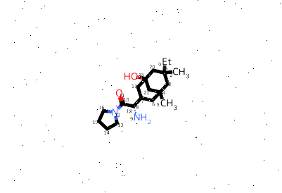 CCC1(C)CC2(C)CC([C@H](N)C(=O)N3CCCC3)CC(O)(C1)C2